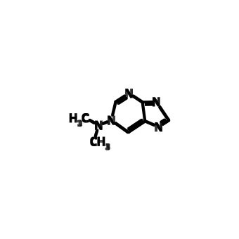 CN(C)n1cnc2ncnc-2c1